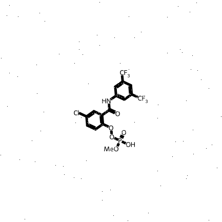 COP(=O)(O)OOc1ccc(Cl)cc1C(=O)Nc1cc(C(F)(F)F)cc(C(F)(F)F)c1